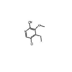 CCc1c(Cl)cnc(O)c1OC